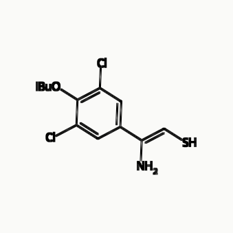 CC(C)COc1c(Cl)cc(/C(N)=C/S)cc1Cl